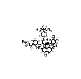 CC(C)(C)N1CCC(N/C=C(\NN)[C@@H](Nc2cc(Cl)c3ncc(C#N)c(Nc4ccc(F)c(Cl)c4)c3c2)c2cccc(C(=O)N3CC(F)C3)c2)CC1